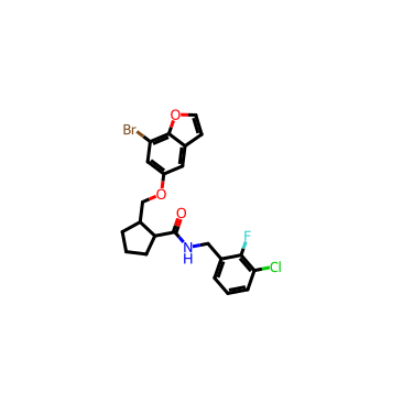 O=C(NCc1cccc(Cl)c1F)C1CCCC1COc1cc(Br)c2occc2c1